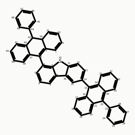 C1=CC2=C(c3cccc4c3sc3ccc(-c5c6ccccc6c(-c6ccccc6)c6ccccc56)cc34)c3ccccc3C(c3ccccc3)C2C=C1